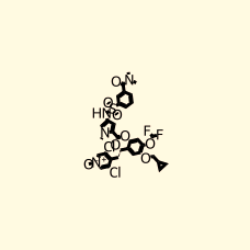 CN(C)C(=O)c1cccc(S(=O)(=O)Nc2cc(C(=O)O[C@@H](Cc3c(Cl)c[n+]([O-])cc3Cl)c3ccc(OC(F)F)c(OCC4CC4)c3)n(C)c2)c1